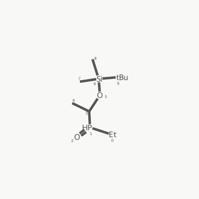 CC[PH](=O)C(C)O[Si](C)(C)C(C)(C)C